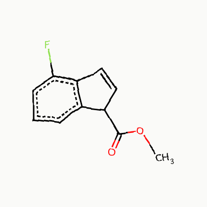 COC(=O)C1C=Cc2c(F)cccc21